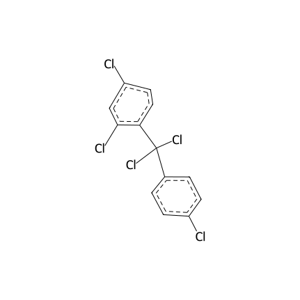 Clc1ccc(C(Cl)(Cl)c2ccc(Cl)cc2Cl)cc1